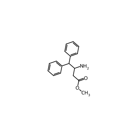 COC(=O)CC(N)C(c1ccccc1)c1ccccc1